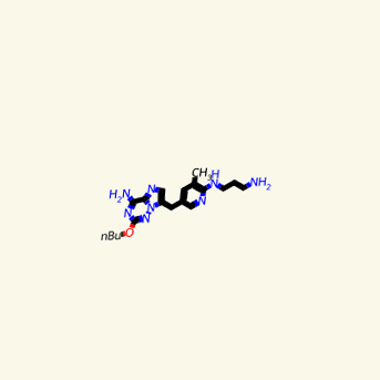 CCCCOc1nc(N)c2ncc(Cc3cnc(NCCCN)c(C)c3)n2n1